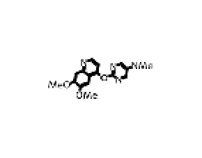 CNc1cnc(Oc2ccnc3cc(OC)c(OC)cc23)nc1